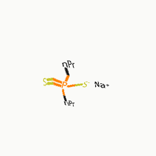 CCCP(=S)([S-])CCC.[Na+]